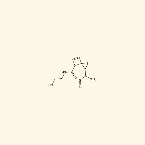 CC(N=O)C1OC12C=CC2C(=O)NCCO